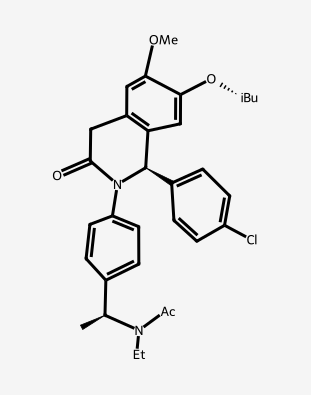 CC[C@@H](C)Oc1cc2c(cc1OC)CC(=O)N(c1ccc([C@H](C)N(CC)C(C)=O)cc1)[C@@H]2c1ccc(Cl)cc1